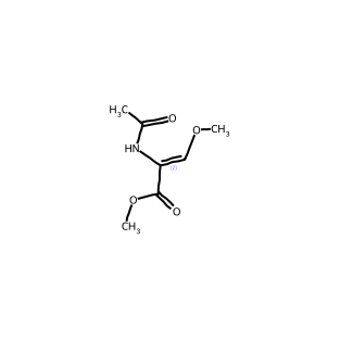 CO/C=C(\NC(C)=O)C(=O)OC